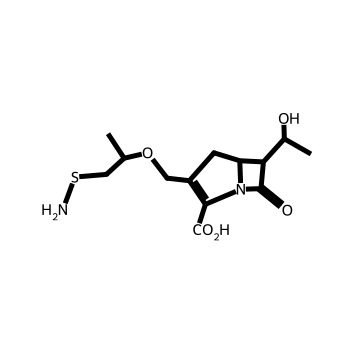 CC(CSN)OCC1=C(C(=O)O)N2C(=O)C(C(C)O)C2C1